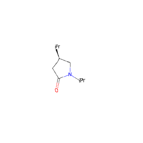 CC(C)[C@@H]1CC(=O)N(C(C)C)C1